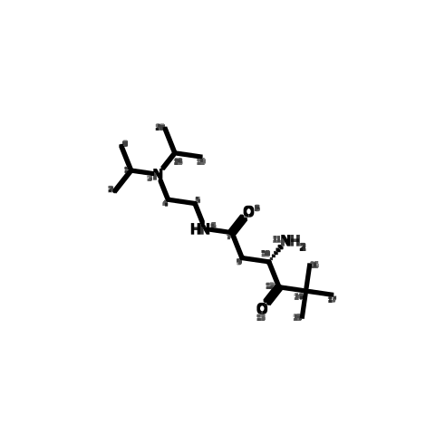 CC(C)N(CCNC(=O)C[C@H](N)C(=O)C(C)(C)C)C(C)C